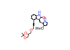 COc1cc[nH]c1C=C1C(=O)Nc2cccc(C#CCOCC3COC(C)(C)O3)c21